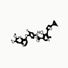 COc1cc2nccc(Oc3ccc(NC(=O)c4cnc(C)c(-c5ccc(C6CC6)o5)c4O)cc3F)c2nc1OC